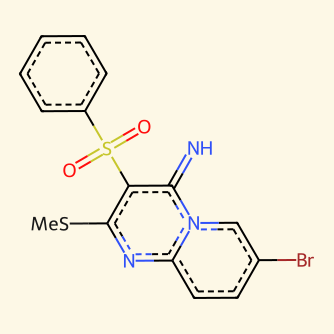 CSc1nc2ccc(Br)cn2c(=N)c1S(=O)(=O)c1ccccc1